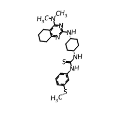 CSc1cccc(NC(=S)N[C@H]2CC[C@@H](Nc3nc4c(c(N(C)C)n3)CCCC4)CC2)c1